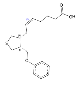 O=C(O)CCC/C=C\C[C@H]1CSC[C@H]1COc1ccccc1